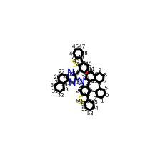 c1ccc2c(c1)-c1cccc3ccc4c(c13)c1c-2c2c(cc1n4-c1nc3c(ccc4ccccc43)nc1-c1cccc3c1sc1ccccc13)sc1ccccc12